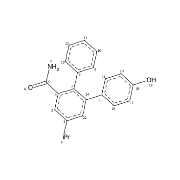 CC(C)c1cc(C(N)=O)c(-c2ccccc2)c(-c2ccc(O)cc2)c1